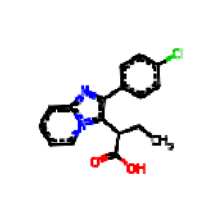 CCC(C(=O)O)c1c(-c2ccc(Cl)cc2)nc2ccccn12